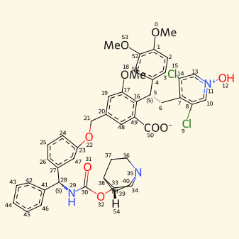 COc1ccc([C@H](Cc2c(Cl)c[n+](O)cc2Cl)c2c(OC)cc(COc3cccc([C@@H](NC(=O)O[C@H]4CN5CCC4CC5)c4ccccc4)c3)cc2C(=O)[O-])cc1OC